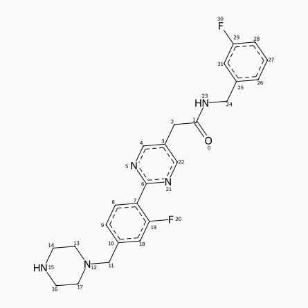 O=C(Cc1cnc(-c2ccc(CN3CCNCC3)cc2F)nc1)NCc1cccc(F)c1